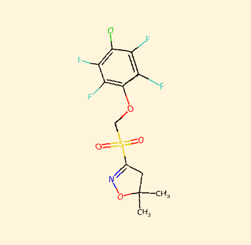 CC1(C)CC(S(=O)(=O)COc2c(F)c(F)c(Cl)c(F)c2F)=NO1